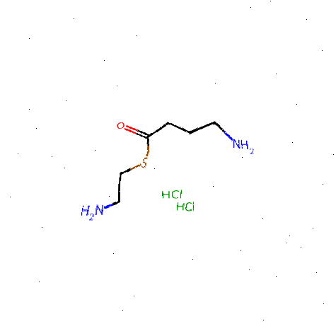 Cl.Cl.NCCCC(=O)SCCN